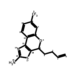 C=CCCC1Oc2cc(C(F)(F)F)ccc2-c2nc(N)sc21